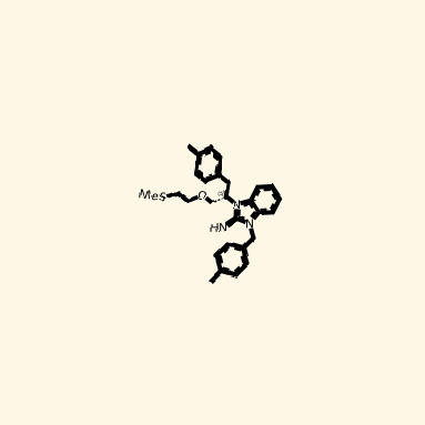 CSCCOC[C@H](Cc1ccc(C)cc1)n1c(=N)n(Cc2ccc(C)cc2)c2ccccc21